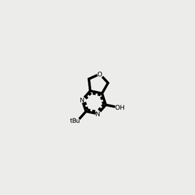 CC(C)(C)c1nc(O)c2c(n1)COC2